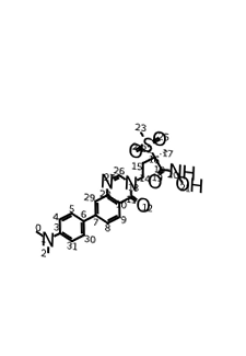 CN(C)c1ccc(-c2ccc3c(=O)n(CC[C@](C)(C(=O)NO)S(C)(=O)=O)cnc3c2)cc1